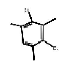 CCc1c(C)cc(C)c(CC)c1C